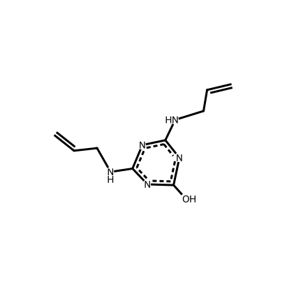 C=CCNc1nc(O)nc(NCC=C)n1